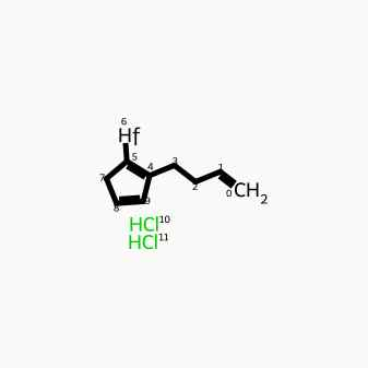 C=CCCC1=[C]([Hf])CC=C1.Cl.Cl